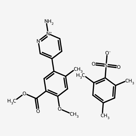 COC(=O)c1cc(-c2cc[n+](N)nc2)c(C)cc1OC.Cc1cc(C)c(S(=O)(=O)[O-])c(C)c1